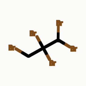 BrCC(Br)(Br)[C](Br)Br